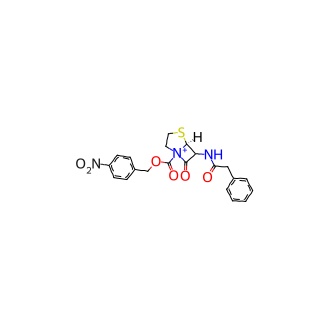 O=C(Cc1ccccc1)NC1C(=O)[N+]2(C(=O)OCc3ccc([N+](=O)[O-])cc3)CCS[C@@H]12